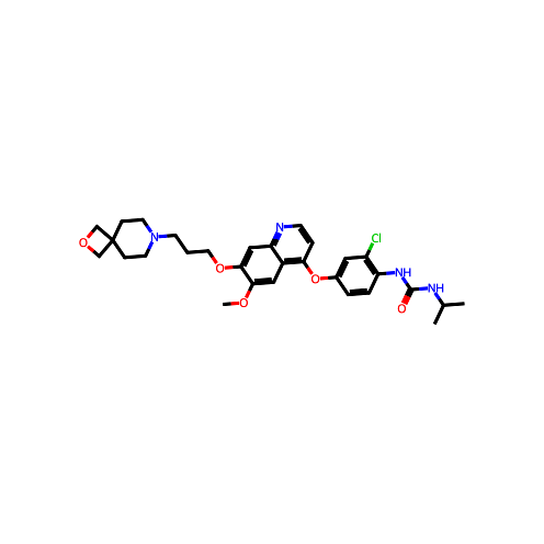 COc1cc2c(Oc3ccc(NC(=O)NC(C)C)c(Cl)c3)ccnc2cc1OCCCN1CCC2(CC1)COC2